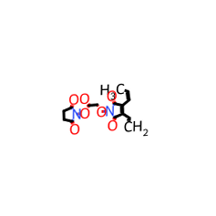 C=CC1=C(/C=C\C)C(=O)N(OCC(=O)ON2C(=O)CCC2=O)C1=O